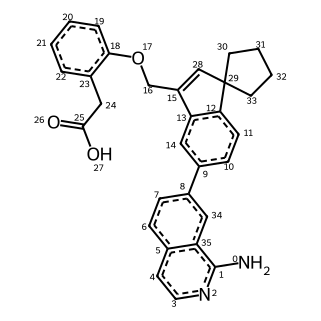 Nc1nccc2ccc(-c3ccc4c(c3)C(COc3ccccc3CC(=O)O)=CC43CCCC3)cc12